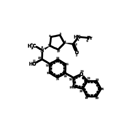 CC(C)NC(=O)[C@H]1CC[C@@H](N(C)C(O)c2ccc(-c3nc4ccccc4o3)cc2)C1